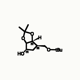 CC(C)(C)OC[C@H]1C[C@H](O)C2OC(C)(C)O[C@H]21